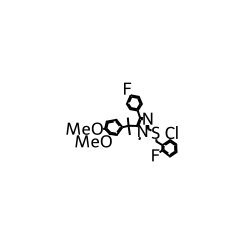 COc1ccc(C(C)(C)c2c(-c3ccc(F)cc3)nc(SCc3c(F)cccc3Cl)n2C)cc1OC